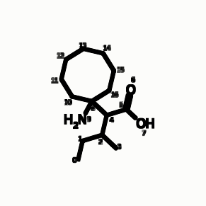 CCC(C)C(C(=O)O)C1(N)CCCCCCC1